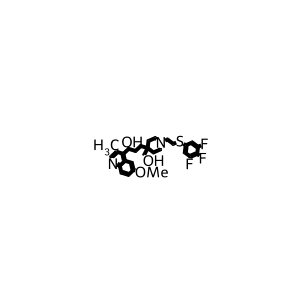 COc1ccc2ncc(C)c([C@@H](O)CCC3(CO)CCN(CCSc4cc(F)c(F)c(F)c4)CC3)c2c1